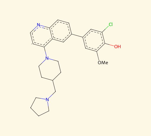 COc1cc(-c2ccc3nc[c]c(N4CCC(CN5CCCC5)CC4)c3c2)cc(Cl)c1O